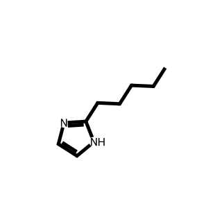 CCCCCc1ncc[nH]1